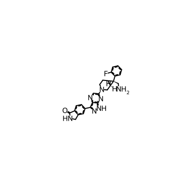 NC[C@]1(c2ccccc2F)[C@@H]2CCN(c3cnc4c(-c5ccc6c(c5)CNC6=O)n[nH]c4n3)C[C@@H]21